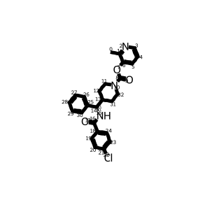 Cc1ncccc1OC(=O)N1CCC([C@H](NC(=O)c2ccc(Cl)cc2)c2ccccc2)CC1